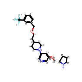 FC(F)(F)c1cccc(COCCC2CCN(c3cncc(OC[C@@H]4CCCN4)c3)CC2)c1